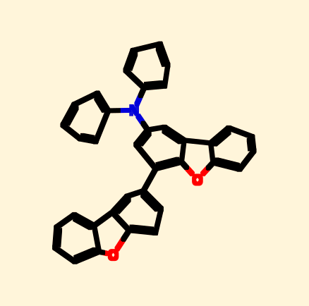 c1ccc(N(c2ccccc2)c2cc(-c3ccc4oc5ccccc5c4c3)c3oc4ccccc4c3c2)cc1